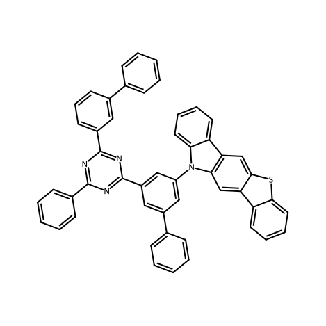 c1ccc(-c2cccc(-c3nc(-c4ccccc4)nc(-c4cc(-c5ccccc5)cc(-n5c6ccccc6c6cc7sc8ccccc8c7cc65)c4)n3)c2)cc1